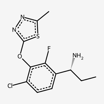 CC[C@@H](N)c1ccc(Cl)c(Oc2nnc(C)s2)c1F